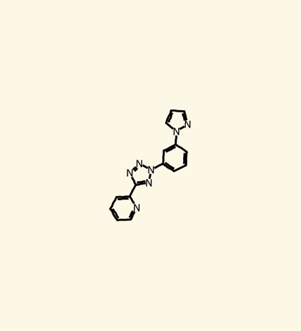 c1ccc(-c2nnn(-c3cccc(-n4cccn4)c3)n2)nc1